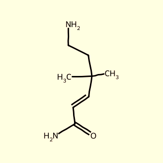 CC(C)(C=CC(N)=O)CCN